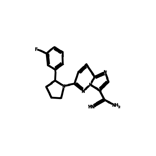 N=C(N)c1cnc2ccc(N3CCCC3c3cccc(F)c3)nn12